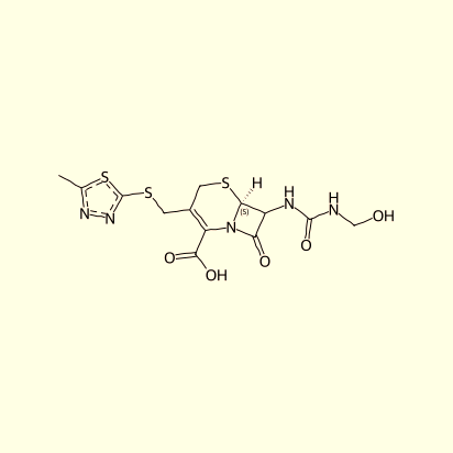 Cc1nnc(SCC2=C(C(=O)O)N3C(=O)C(NC(=O)NCO)[C@@H]3SC2)s1